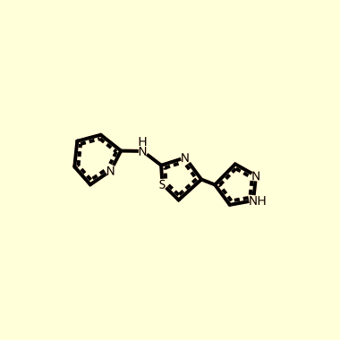 c1ccc(Nc2nc(-c3cn[nH]c3)cs2)nc1